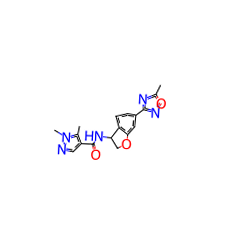 Cc1nc(-c2ccc3c(c2)OCC3NC(=O)c2cnn(C)c2C)no1